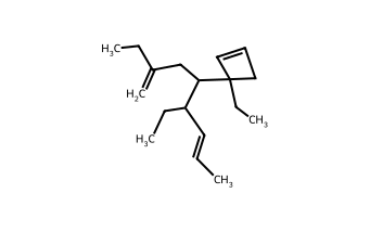 C=C(CC)CC(C(/C=C/C)CC)C1(CC)C=CC1